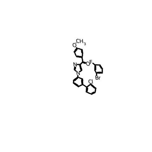 COc1ccc(C(=O)c2cn(-c3cccc(-c4ccccc4Cl)c3)cn2)cc1.Fc1cccc(Br)c1